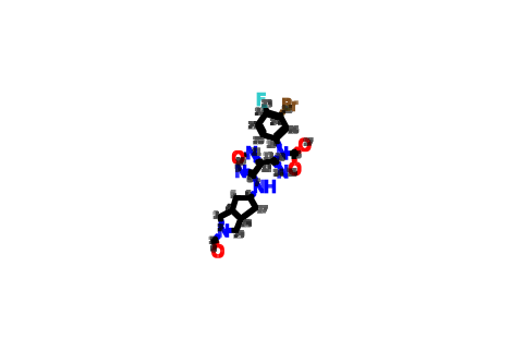 O=CN1CC2CC(Nc3nonc3-c3noc(=O)n3-c3ccc(F)c(Br)c3)CC2C1